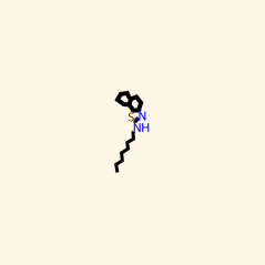 CCCCCCCCNc1nc2ccc3ccccc3c2s1